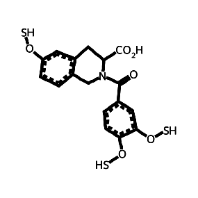 O=C(O)C1Cc2cc(OS)ccc2CN1C(=O)c1ccc(OS)c(OS)c1